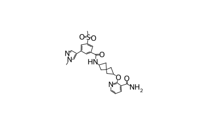 Cn1cc(-c2cc(C(=O)NC3CC4(C3)CC(Oc3ncccc3C(N)=O)C4)cc(S(C)(=O)=O)c2)cn1